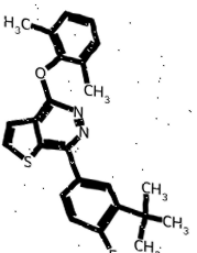 Cc1cccc(C)c1Oc1nnc(-c2ccc(F)c(C(C)(C)C)c2)c2sccc12